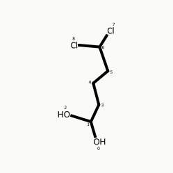 OC(O)CCCC(Cl)Cl